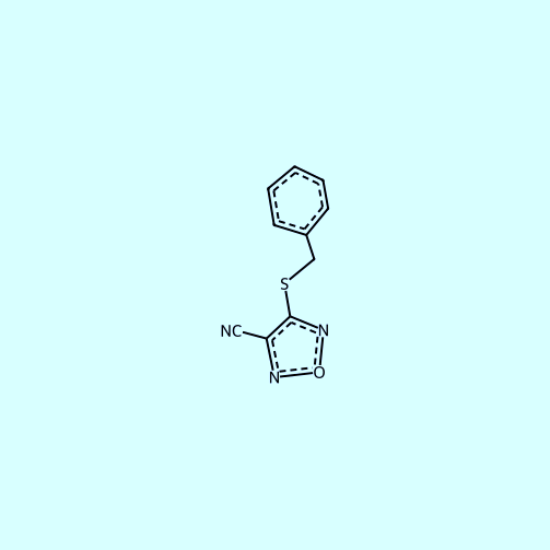 N#Cc1nonc1SCc1ccccc1